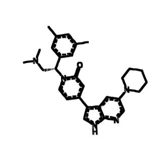 Cc1cc(C)cc([C@@H](CN(C)C)n2ccc(-c3c[nH]c4ncc(N5CCCCC5)cc34)cc2=O)c1